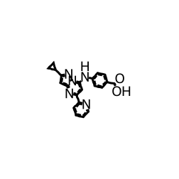 O=C(O)c1ccc(Nc2cc(-c3ccccn3)nc3cc(C4CC4)nn23)cc1